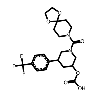 O=C(O)OC1CC(c2ccc(C(F)(F)F)cc2)CN(C(=O)N2CCC3(CC2)OCCO3)C1